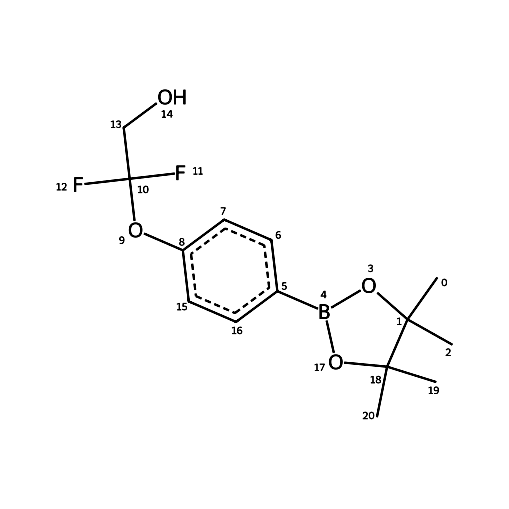 CC1(C)OB(c2ccc(OC(F)(F)CO)cc2)OC1(C)C